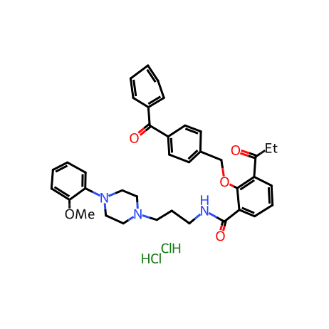 CCC(=O)c1cccc(C(=O)NCCCN2CCN(c3ccccc3OC)CC2)c1OCc1ccc(C(=O)c2ccccc2)cc1.Cl.Cl